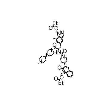 CCC(=O)OCn1ncc2cc(CC(NC(=O)N3CCC(c4cc5ccccc5n(COC(=O)CC)c4=O)CC3)C(=O)N3CCN(C4CCN(C)CC4)CC3)cc(C)c21